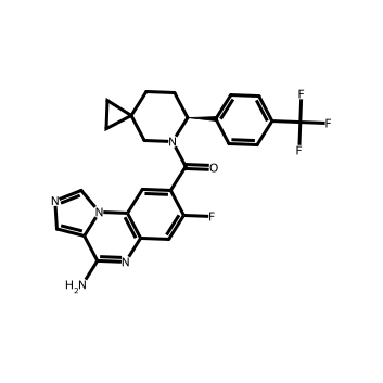 Nc1nc2cc(F)c(C(=O)N3CC4(CC[C@H]3c3ccc(C(F)(F)F)cc3)CC4)cc2n2cncc12